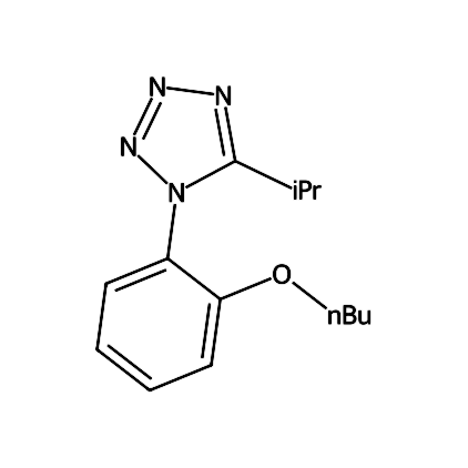 CCCCOc1ccccc1-n1nnnc1C(C)C